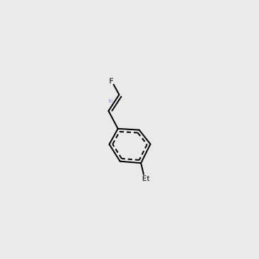 CCc1ccc(/C=C/F)cc1